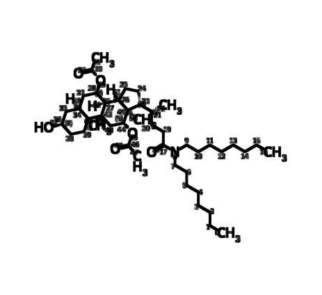 CCCCCCCCN(CCCCCCCC)C(=O)CC[C@@H](C)[C@H]1CC[C@H]2[C@@H]3[C@H](OC(C)=O)C[C@@H]4C[C@H](O)CC[C@]4(C)[C@H]3C[C@H](OC(C)=O)[C@]12C